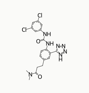 CN(C)C(=O)CCc1ccc(NC(=O)Nc2cc(Cl)cc(Cl)c2)c(-c2nnn[nH]2)c1